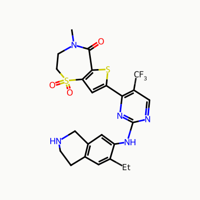 CCc1cc2c(cc1Nc1ncc(C(F)(F)F)c(-c3cc4c(s3)C(=O)N(C)CCS4(=O)=O)n1)CNCC2